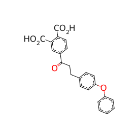 O=C(CCc1ccc(Oc2ccccc2)cc1)c1ccc(C(=O)O)c(C(=O)O)c1